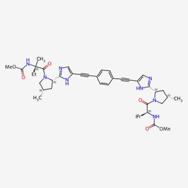 CC[C@](C)(NC(=O)OC)C(=O)N1C[C@@H](C)C[C@H]1c1ncc(C#Cc2ccc(C#Cc3cnc([C@@H]4C[C@H](C)CN4C(=O)[C@@H](NC(=O)OC)C(C)C)[nH]3)cc2)[nH]1